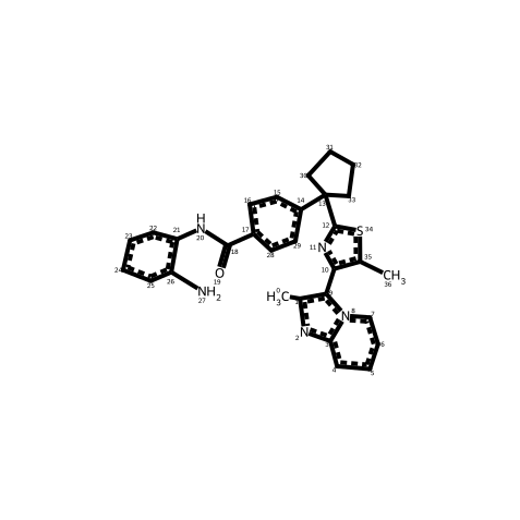 Cc1nc2ccccn2c1-c1nc(C2(c3ccc(C(=O)Nc4ccccc4N)cc3)CCCC2)sc1C